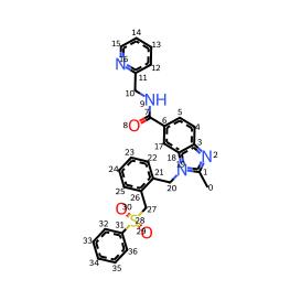 Cc1nc2ccc(C(=O)NCc3ccccn3)cc2n1Cc1ccccc1CS(=O)(=O)c1ccccc1